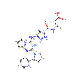 CC(CC(=O)O)NC(=O)c1cc(Nc2nc(N3CCCC3c3ccccn3)nc3cccn23)n[nH]1